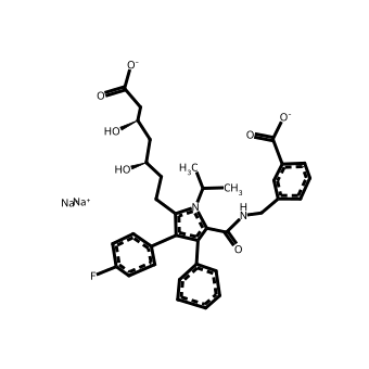 CC(C)n1c(CC[C@@H](O)C[C@@H](O)CC(=O)[O-])c(-c2ccc(F)cc2)c(-c2ccccc2)c1C(=O)NCc1cccc(C(=O)[O-])c1.[Na+].[Na+]